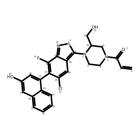 C=CC(=O)N1CCN(c2snc3c(F)c(-c4cc(O)cc5ccccc45)c(Cl)cc23)C(CO)C1